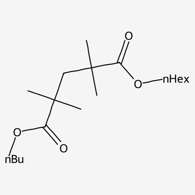 CCCCCCOC(=O)C(C)(C)CC(C)(C)C(=O)OCCCC